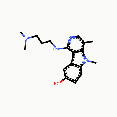 Cc1cnc(NCCCN(C)C)c2c3cc(O)ccc3n(C)c12